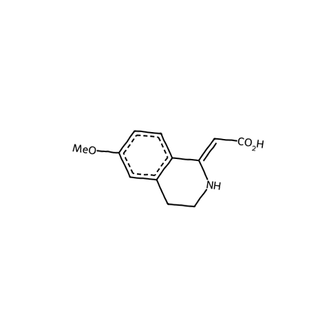 COc1ccc2c(c1)CCN/C2=C\C(=O)O